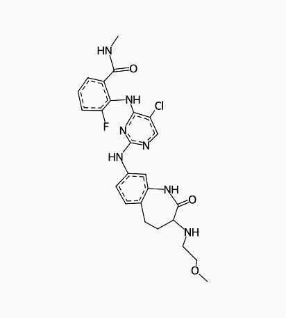 CNC(=O)c1cccc(F)c1Nc1nc(Nc2ccc3c(c2)NC(=O)C(NCCOC)CC3)ncc1Cl